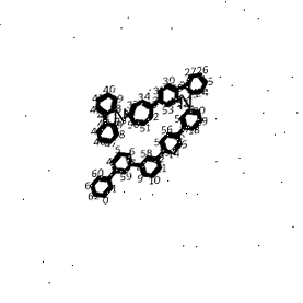 C1=CC(c2cccc(-c3cccc(-c4ccc(-c5cccc(-n6c7ccccc7c7ccc(C8=CC=C(n9c%10ccccc%10c%10ccccc%109)C=CC8)cc76)c5)cc4)c3)c2)=CCC1